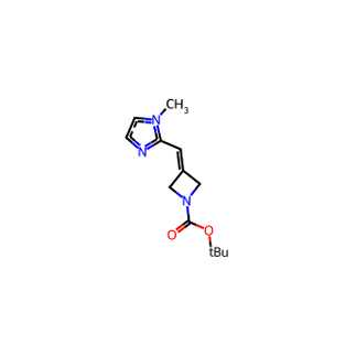 Cn1ccnc1C=C1CN(C(=O)OC(C)(C)C)C1